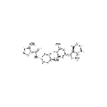 CN1CCCC1C(=O)N[C@H]1CC[C@H](Nc2cc(-c3c[nH]c4ncccc34)cc(Cl)n2)CC1